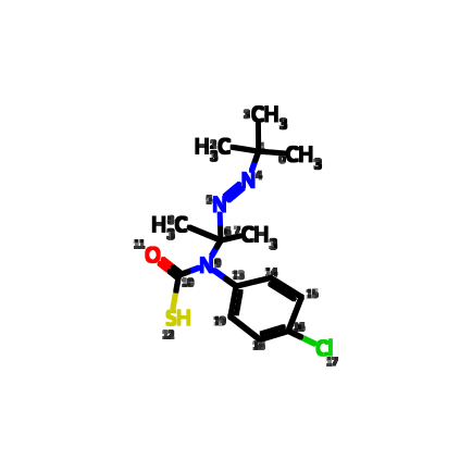 CC(C)(C)N=NC(C)(C)N(C(=O)S)c1ccc(Cl)cc1